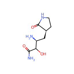 NC(=O)C(O)[C@@H](N)C[C@@H]1CCNC1=O